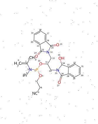 C=C(C)N(C(C)C)P(OCCC#N)OC(CN1C(=O)c2ccccc2C1=O)CN1C(=O)c2ccccc2C1O